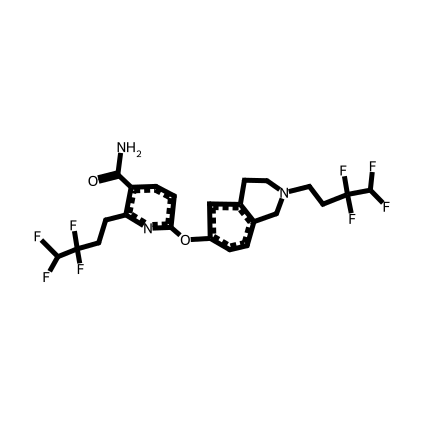 NC(=O)c1ccc(Oc2ccc3c(c2)CCN(CCC(F)(F)C(F)F)C3)nc1CCC(F)(F)C(F)F